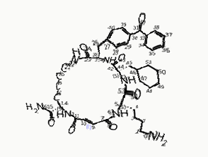 NCCCC[C@@H]1NC(=O)/C=C/C(=O)N[C@H](C(N)=O)CCCCNC(=O)[C@@H](Cc2ccc(C(=O)c3ccccc3)cc2)NC(=O)[C@H](CC2CCCCC2)NC1=O